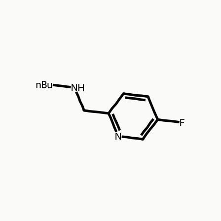 CCCCNCc1ccc(F)cn1